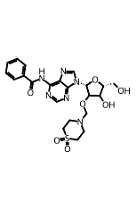 O=C(Nc1ncnc2c1ncn2[C@@H]1O[C@H](CO)C(O)C1OCN1CCS(=O)(=O)CC1)c1ccccc1